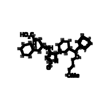 COCCCO[C@H](c1ccccc1)C1CCCN(c2n[s+]([O-])nc2NC(CNC(=O)O)CC2CCCCC2)C1